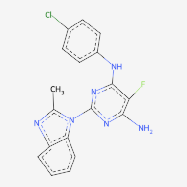 Cc1nc2ccccc2n1-c1nc(N)c(F)c(Nc2ccc(Cl)cc2)n1